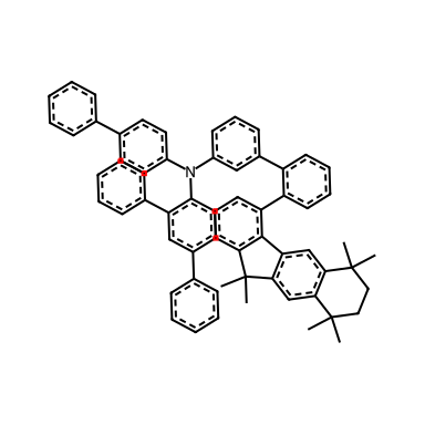 CC1(C)CCC(C)(C)c2cc3c(cc21)-c1c(-c2ccccc2-c2cccc(N(c4ccc(-c5ccccc5)cc4)c4ccc(-c5ccccc5)cc4-c4ccccc4)c2)cccc1C3(C)C